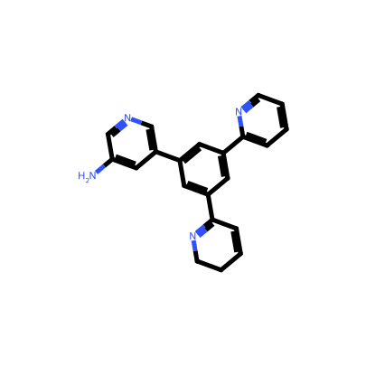 Nc1cncc(-c2cc(C3=NCCC=C3)cc(-c3ccccn3)c2)c1